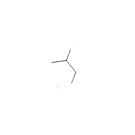 CC([C]=O)[CH]C(=O)O